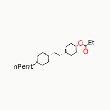 CCCCC[C@H]1CC[C@H](CC[C@H]2CC[C@H](OC(=O)CC)CC2)CC1